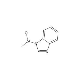 C[S+]([O-])n1cnc2ccccc21